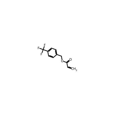 C=CC(=O)OCc1ccc(C(F)(F)F)cc1